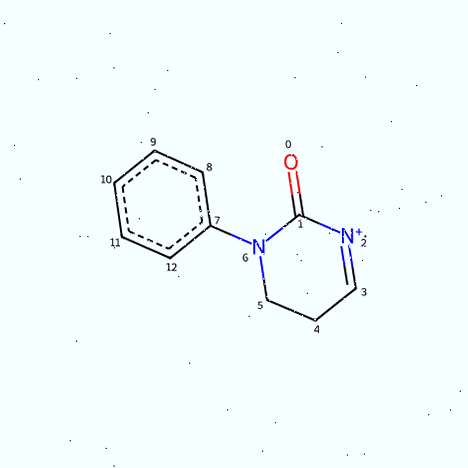 O=C1[N+]=CCCN1c1ccccc1